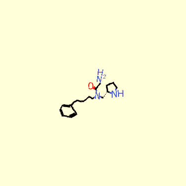 NCC(=O)N(CCCCc1ccccc1)C[C@@H]1CCCN1